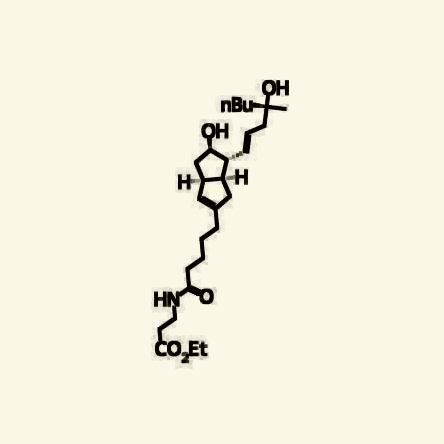 CCCC[C@](C)(O)C/C=C/[C@@H]1[C@H]2CC(CCCCC(=O)NCCC(=O)OCC)=C[C@H]2C[C@H]1O